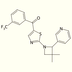 CC1(C)CN(c2ncc(C(=O)c3cccc(C(F)(F)F)c3)s2)C1c1cccnc1